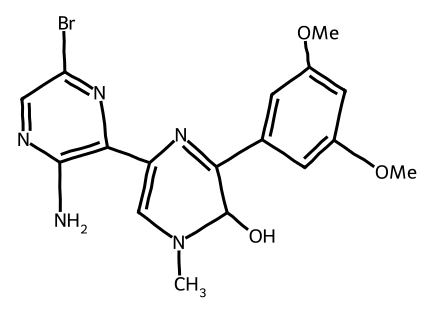 COc1cc(OC)cc(C2=NC(c3nc(Br)cnc3N)=CN(C)C2O)c1